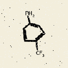 FC(F)(F)c1ccc(P)cc1